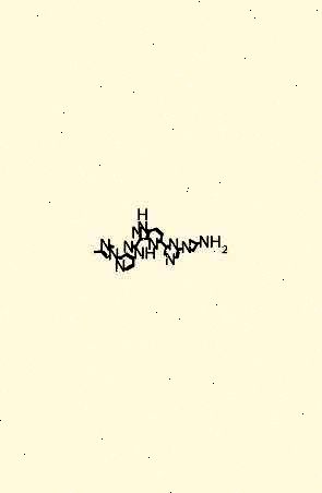 Cc1cn(-c2nccc3[nH]c(-c4n[nH]c5ccc(-c6cncc(N7CC(N)C7)n6)nc45)nc23)cn1